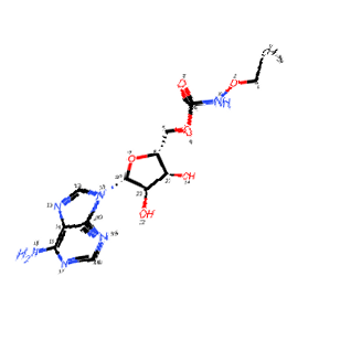 CCONC(=O)OC[C@H]1O[C@@H](n2cnc3c(N)ncnc32)[C@H](O)[C@@H]1O